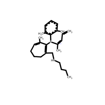 C=C/C=C(/C)N(C1=C(CNCCCC)CCCC=C1C)c1c(C)cccc1C